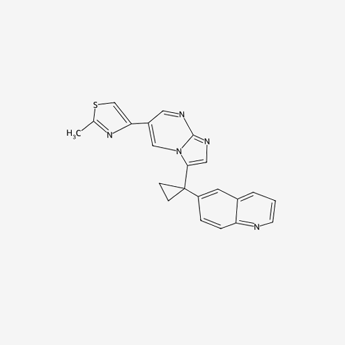 Cc1nc(-c2cnc3ncc(C4(c5ccc6ncccc6c5)CC4)n3c2)cs1